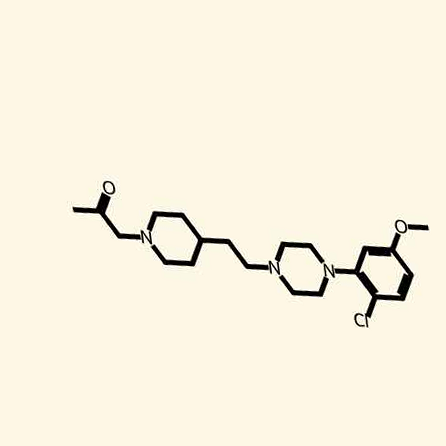 COc1ccc(Cl)c(N2CCN(CCC3CCN(CC(C)=O)CC3)CC2)c1